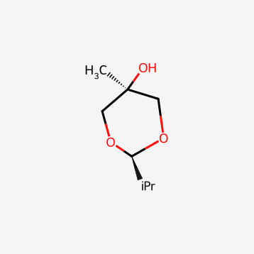 CC(C)[C@H]1OC[C@@](C)(O)CO1